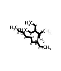 C=C(C)C(CC)CC.CCCCCCCCC